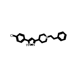 Clc1ccc(-c2cc(C3CCN(CCc4ccccc4)CC3)n[nH]2)cc1